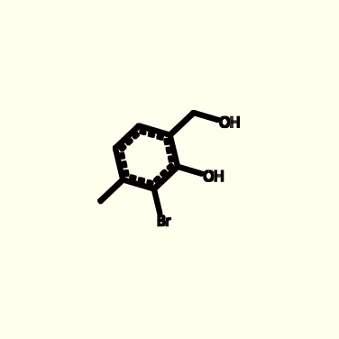 Cc1ccc(CO)c(O)c1Br